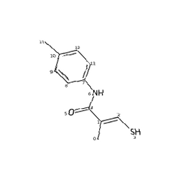 CC(=CS)C(=O)Nc1ccc(C)cc1